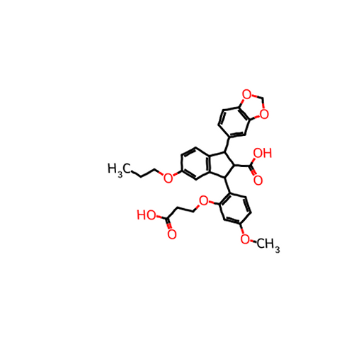 CCCOc1ccc2c(c1)C(c1ccc(OC)cc1OCCC(=O)O)C(C(=O)O)C2c1ccc2c(c1)OCO2